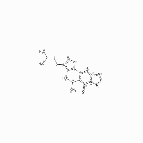 CC(C)CCn1cc(-c2[nH]c3ncnn3c(=O)c2C(C)C)cn1